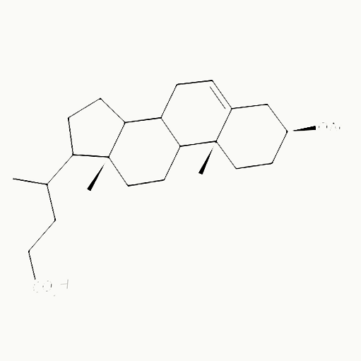 CC(=O)O[C@H]1CC[C@@]2(C)C(=CCC3C4CCC(C(C)CCC(=O)O)[C@@]4(C)CCC32)C1